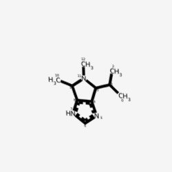 CC(C)C1c2nc[nH]c2C(C)N1C